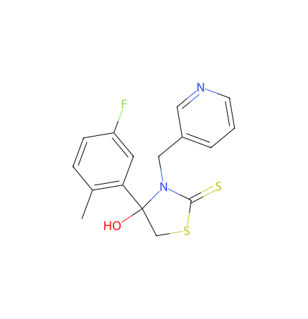 Cc1ccc(F)cc1C1(O)CSC(=S)N1Cc1cccnc1